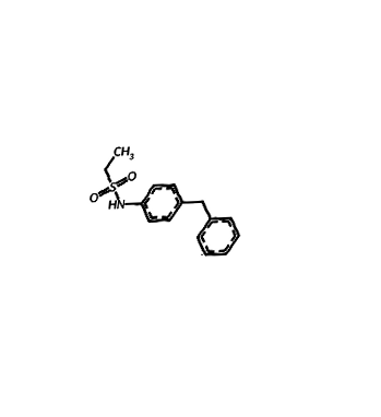 CCS(=O)(=O)Nc1ccc(Cc2c[c]ccc2)cc1